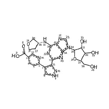 O=C(O)c1ccc(-c2c[nH]nc2-c2nc(N[C@@H]3CCOC3)c3ncn(C4OC(CO)C(O)C4O)c3n2)nc1